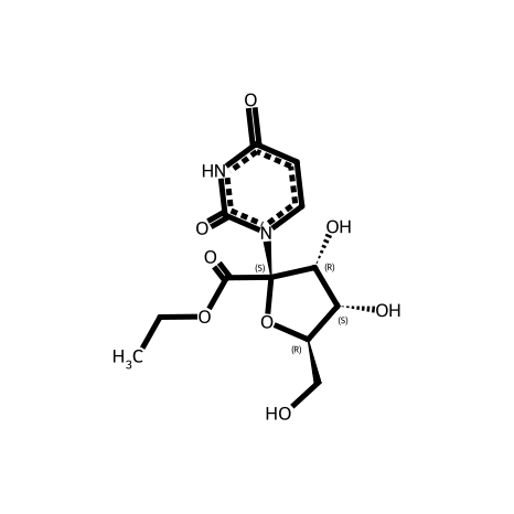 CCOC(=O)[C@@]1(n2ccc(=O)[nH]c2=O)O[C@H](CO)[C@@H](O)[C@H]1O